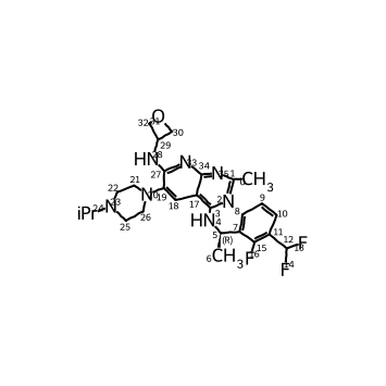 Cc1nc(N[C@H](C)c2cccc(C(F)F)c2F)c2cc(N3CCN(C(C)C)CC3)c(NC3COC3)nc2n1